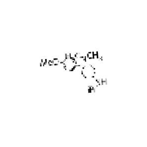 COc1ccc(C2(N(C)C)CCC(NC(C)C)CC2)cc1